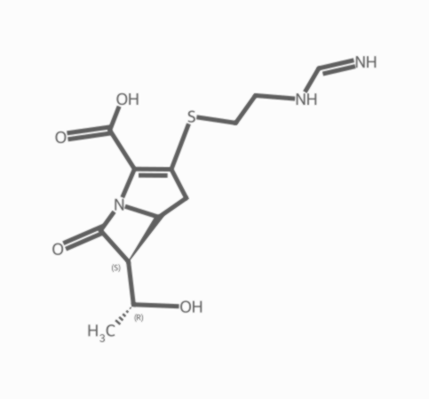 C[C@@H](O)[C@H]1C(=O)N2C(C(=O)O)=C(SCCNC=N)CC12